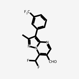 Cc1nn2c(C(F)F)c(C=O)cnc2c1-c1cccc(C(F)(F)F)c1